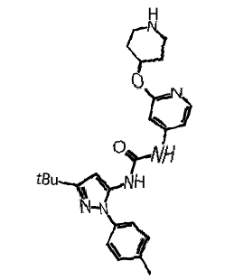 Cc1ccc(-n2nc(C(C)(C)C)cc2NC(=O)Nc2ccnc(OC3CCNCC3)c2)cc1